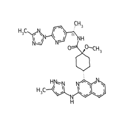 CO[C@]1(C(=O)N[C@@H](C)c2ccc(-n3cnc(C)n3)nc2)CC[C@@H](c2nc(Nc3cc(C)[nH]n3)cc3cccnc32)CC1